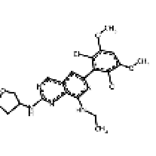 CCNc1nc(-c2c(Cl)c(OC)cc(OC)c2Cl)cc2cnc(NC3CCOC3)nc12